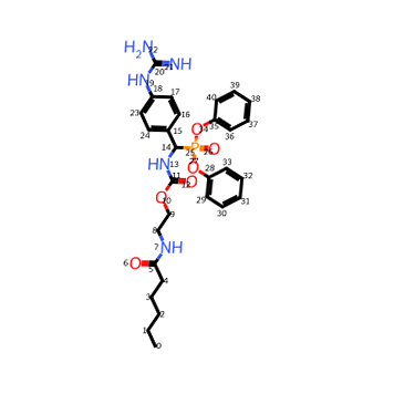 CCCCCC(=O)NCCOC(=O)NC(c1ccc(NC(=N)N)cc1)P(=O)(Oc1ccccc1)Oc1ccccc1